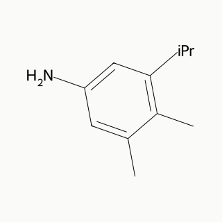 Cc1cc(N)cc(C(C)C)c1C